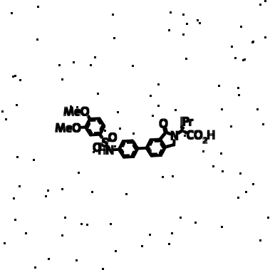 COc1ccc(S(=O)(=O)Nc2ccc(-c3ccc4c(c3)C(=O)N([C@H](C(=O)O)C(C)C)C4)cc2)cc1OC